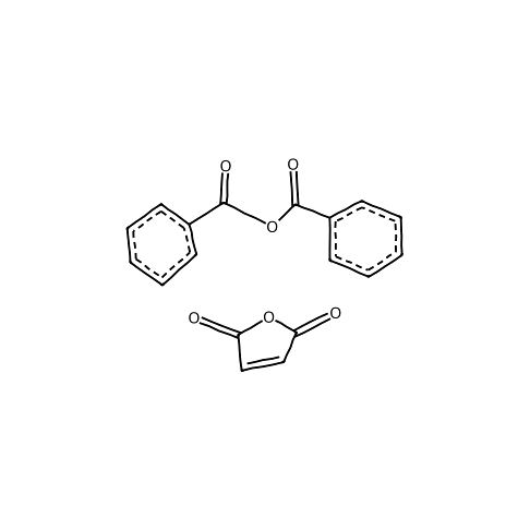 O=C(OC(=O)c1ccccc1)c1ccccc1.O=C1C=CC(=O)O1